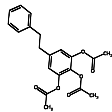 CC(=O)Oc1cc(CCc2ccccc2)cc(OC(C)=O)c1OC(C)=O